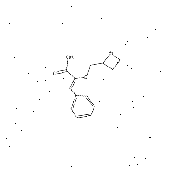 O=C(O)C(=Cc1ccccc1)OCC1CCO1